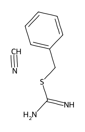 C#N.N=C(N)SCc1ccccc1